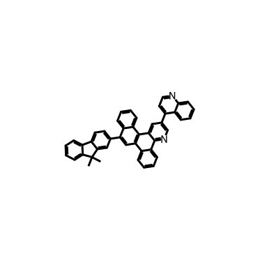 CC1(C)c2ccccc2-c2ccc(-c3cc4c5ccccc5c5ncc(-c6ccnc7ccccc67)cc5c4c4ccccc34)cc21